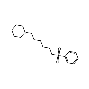 O=S(=O)(CCCCCCN1CC[CH]CC1)c1ccccc1